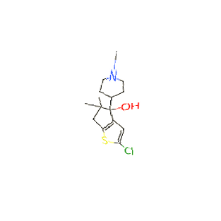 CN1CCC(C2(O)c3cc(Cl)sc3CC2(C)C)CC1